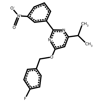 CC(C)c1cc(OCc2ccc(F)cc2)nc(-c2cccc([N+](=O)[O-])c2)n1